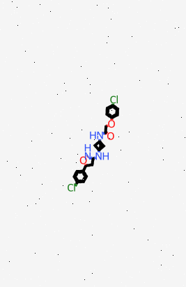 O=C(COc1ccc(Cl)cc1)NC12CC(NC3CC(c4ccc(Cl)cc4)ON3)(C1)C2